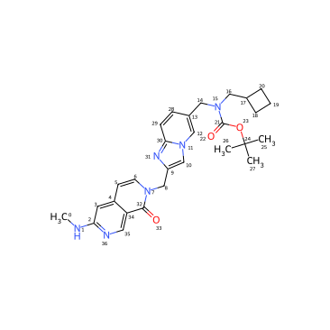 CNc1cc2ccn(Cc3cn4cc(CN(CC5CCC5)C(=O)OC(C)(C)C)ccc4n3)c(=O)c2cn1